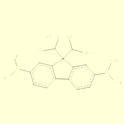 CCCCCC(CC)C1(C(CC)CCCCC)c2cc(B(O)O)ccc2-c2ccc(B(O)O)cc21